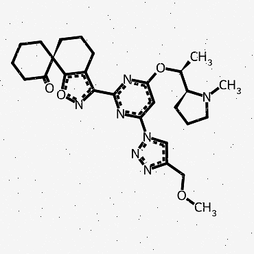 COCc1cn(-c2cc(O[C@@H](C)[C@@H]3CCCN3C)nc(-c3noc4c3CCC[C@@]43CCCCC3=O)n2)nn1